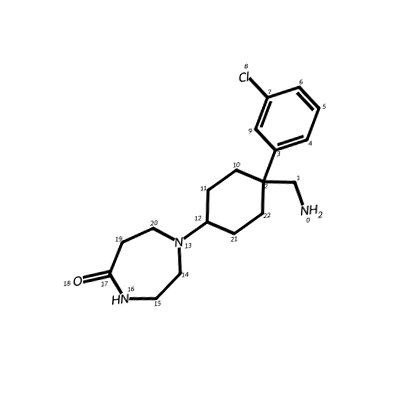 NCC1(c2cccc(Cl)c2)CCC(N2CCNC(=O)CC2)CC1